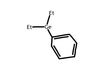 C[CH2][Ge]([CH2]C)[c]1ccccc1